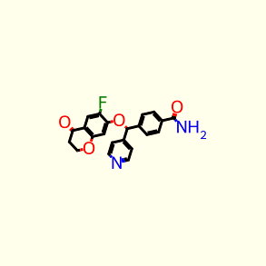 NC(=O)c1ccc(C(Oc2cc3c(cc2F)C(=O)CCO3)c2ccncc2)cc1